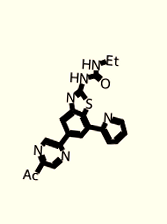 CCNC(=O)Nc1nc2cc(-c3cnc(C(C)=O)cn3)cc(-c3ccccn3)c2s1